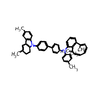 CC1=Cc2c(n(-c3ccc(-c4ccc(N(c5ccc(C)cc5)c5cccc6c5C(C)(C)C=C/C=C\C=C\6C)cc4)cc3)c3ccc(C)cc23)CC1